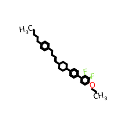 CCCCCc1ccc(CC/C=C/C2CCC(c3ccc(-c4ccc(OCCC)c(F)c4F)cc3)CC2)cc1